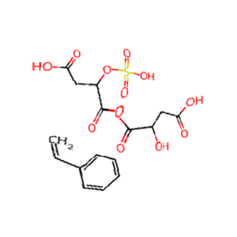 C=Cc1ccccc1.O=C(O)CC(O)C(=O)OC(=O)C(CC(=O)O)OS(=O)(=O)O